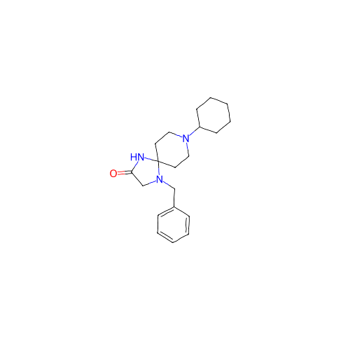 O=C1CN(Cc2ccccc2)C2(CCN(C3CCCCC3)CC2)N1